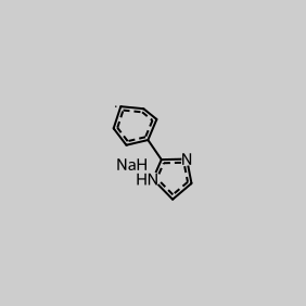 [NaH].[c]1ccc(-c2ncc[nH]2)cc1